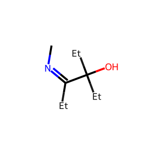 CCC(=NC)C(O)(CC)CC